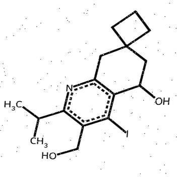 CC(C)c1nc2c(c(I)c1CO)C(O)CC1(CCC1)C2